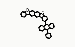 c1ccc(-c2c3ccccc3c(-c3ccc4sc5cc6cc7oc8ccccc8c7cc6cc5c4c3)c3ccccc23)cc1